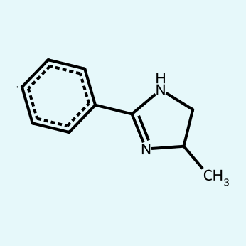 CC1CNC(c2cc[c]cc2)=N1